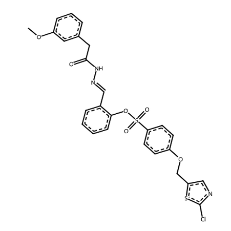 COc1cccc(CC(=O)N/N=C/c2ccccc2OS(=O)(=O)c2ccc(OCc3cnc(Cl)s3)cc2)c1